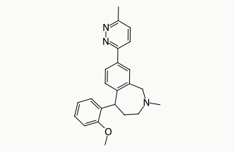 COc1ccccc1C1CCN(C)Cc2cc(-c3ccc(C)nn3)ccc21